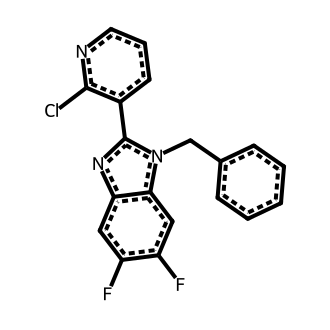 Fc1cc2nc(-c3cccnc3Cl)n(Cc3ccccc3)c2cc1F